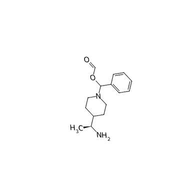 C[C@H](N)C1CCN(C(OC=O)c2ccccc2)CC1